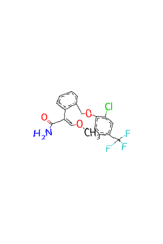 CO/C=C(/C(N)=O)c1ccccc1COc1ccc(C(F)(F)F)cc1Cl